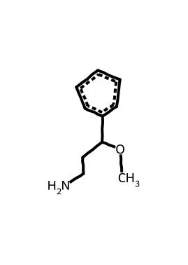 COC(CCN)c1ccccc1